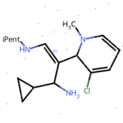 CCCC(C)N/C=C(\C(N)C1CC1)C1C(Cl)=CC=CN1C